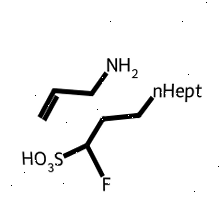 C=CCN.CCCCCCCCCC(F)S(=O)(=O)O